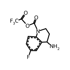 NC1CCN(C(=O)OC(=O)C(F)(F)F)c2ccc(F)cc21